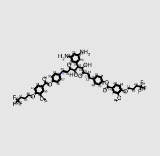 COc1cc(C(=O)Oc2ccc(/C=C/C(=O)C(O)C(c3cc(N)cc(N)c3)C(O)C(=O)/C=C/c3ccc(OC(=O)c4ccc(OCCCC(F)(F)F)c(OC)c4)cc3)cc2)ccc1OCCCC(F)(F)F